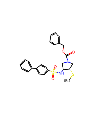 CC(C)(C)S[C@H]1CN(C(=O)OCc2ccccc2)C[C@@H]1NS(=O)(=O)c1ccc(-c2ccccc2)cc1